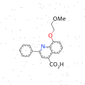 COCCOc1cccc2c(C(=O)O)cc(-c3ccccc3)nc12